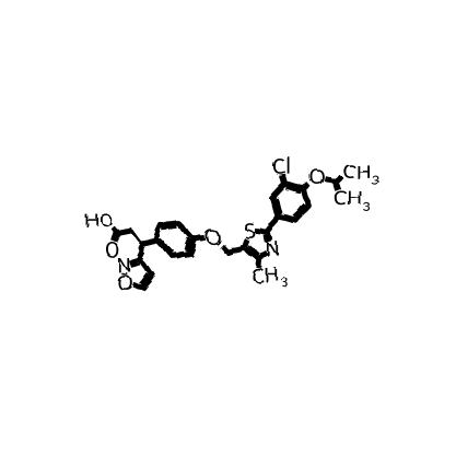 Cc1nc(-c2ccc(OC(C)C)c(Cl)c2)sc1COc1ccc([C@H](CC(=O)O)c2ccon2)cc1